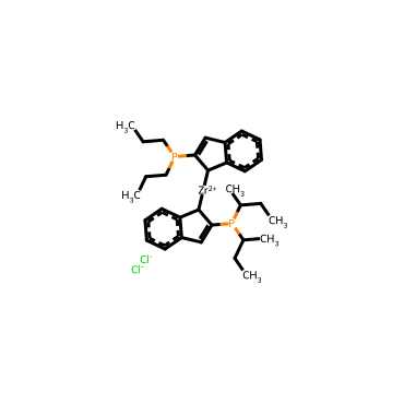 CCCP(CCC)C1=Cc2ccccc2[CH]1[Zr+2][CH]1C(P(C(C)CC)C(C)CC)=Cc2ccccc21.[Cl-].[Cl-]